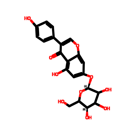 O=c1c(-c2ccc(O)cc2)coc2cc(O[C@@H]3OC(CO)[C@H](O)C(O)C3O)cc(O)c12